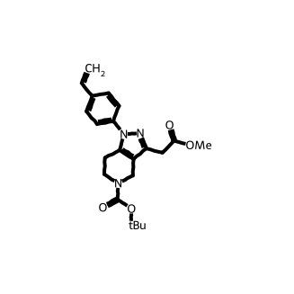 C=Cc1ccc(-n2nc(CC(=O)OC)c3c2CCN(C(=O)OC(C)(C)C)C3)cc1